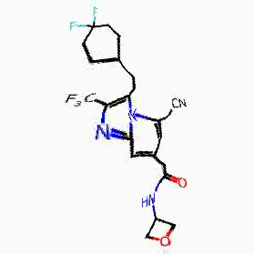 N#Cc1cc(C(=O)NC2COC2)cc2nc(C(F)(F)F)c(CC3CCC(F)(F)CC3)n12